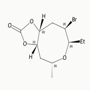 CC[C@H]1O[C@H](C)C[C@@H]2OC(=O)O[C@@H]2C[C@H]1Br